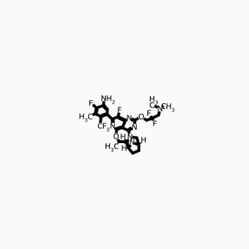 Cc1c(F)c(N)cc(-c2nc3c4c(nc(OCC(F)(F)CN(C)C)nc4c2F)N2C[C@H]4CC[C@H](N4)[C@H]2[C@H](C)O3)c1C(F)(F)F